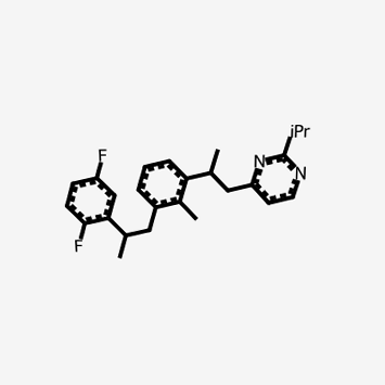 Cc1c(CC(C)c2cc(F)ccc2F)cccc1C(C)Cc1ccnc(C(C)C)n1